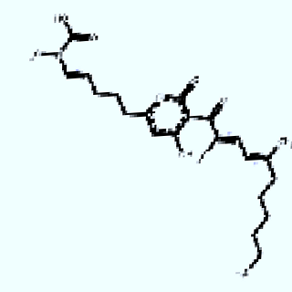 CCCCCC/C(C)=C/C=C(\C)C(=O)c1c(O)cc(CCC/C=C/N(C)C(=O)O)oc1=O